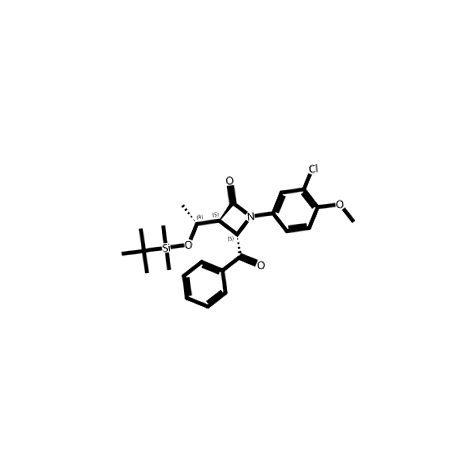 COc1ccc(N2C(=O)[C@H]([C@@H](C)O[Si](C)(C)C(C)(C)C)[C@H]2C(=O)c2ccccc2)cc1Cl